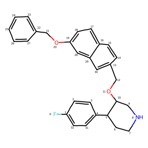 Fc1ccc(C2CCNCC2OCc2ccc3ccc(OCc4ccccc4)cc3c2)cc1